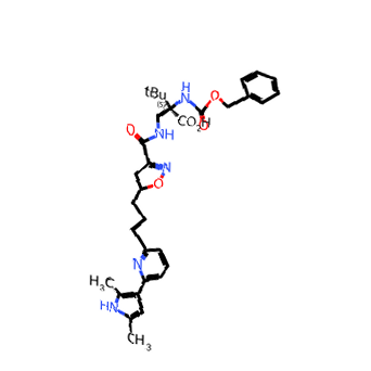 Cc1cc(-c2cccc(CCCC3CC(C(=O)NC[C@](NC(=O)OCc4ccccc4)(C(=O)O)C(C)(C)C)=NO3)n2)c(C)[nH]1